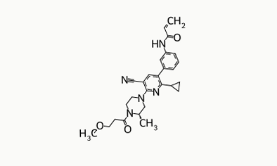 C=CC(=O)Nc1cccc(-c2cc(C#N)c(N3CCN(C(=O)CCOC)[C@H](C)C3)nc2C2CC2)c1